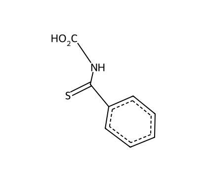 O=C(O)NC(=S)c1ccccc1